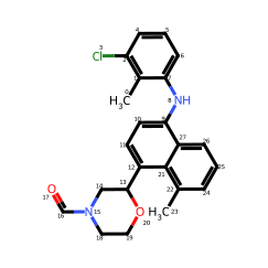 Cc1c(Cl)cccc1Nc1ccc(C2CN(C=O)CCO2)c2c(C)cccc12